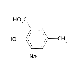 Cc1ccc(O)c(C(=O)O)c1.[Na]